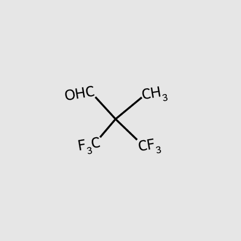 CC(C=O)(C(F)(F)F)C(F)(F)F